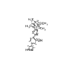 CN(c1nnc(-c2ccc(-c3cn[nH]c3)cc2O)s1)[C@H]1C[C@@]2(C)CC[C@]1(C)CN2C